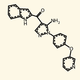 Nc1c(C(=O)c2cc3ccccc3[nH]2)cnn1-c1ccc(Oc2cccnc2)cc1